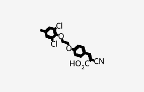 Cc1cc(Cl)c(OCCOc2ccc(C=C(C#N)C(=O)O)cc2)c(Cl)c1